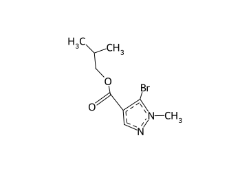 CC(C)COC(=O)c1cnn(C)c1Br